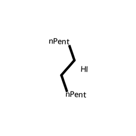 CCCCCCCCCCCC.I